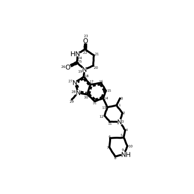 CC1CN(CC2CCCNC2)CCC1c1ccc2c(N3CCC(=O)NC3=O)nn(C)c2c1